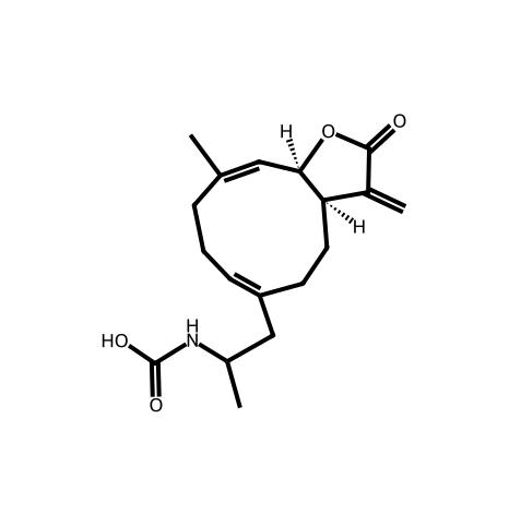 C=C1C(=O)O[C@@H]2C=C(C)CCC=C(CC(C)NC(=O)O)CC[C@H]12